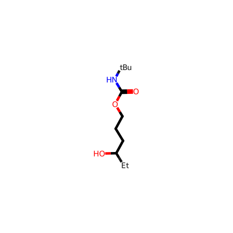 CCC(O)CCCOC(=O)NC(C)(C)C